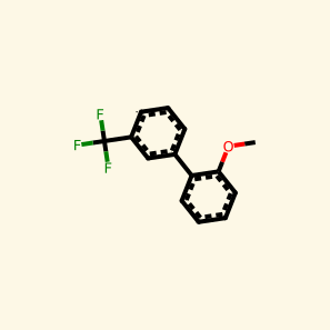 COc1ccccc1-c1cc[c]c(C(F)(F)F)c1